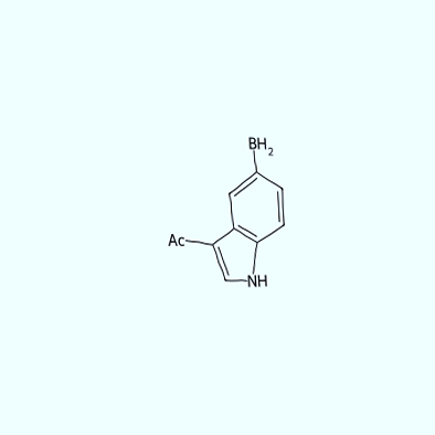 Bc1ccc2[nH]cc(C(C)=O)c2c1